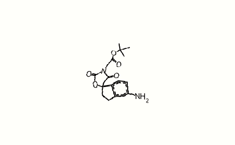 CC(C)(C)OC(=O)CN1C(=O)OC2(CCc3cc(N)ccc32)C1=O